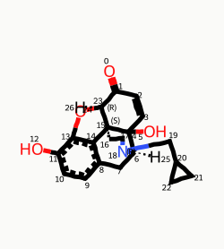 O=C1C=CC2(O)[C@H]3Cc4ccc(O)c5c4[C@@]2(CCN3CC2CC2)[C@H]1O5